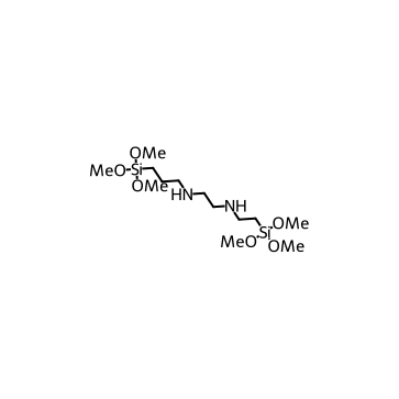 CO[Si](CCCNCCNCC[Si](OC)(OC)OC)(OC)OC